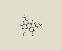 CCSc1cc(=O)c2cc(C(F)(F)F)cc(N(CC)c3ccc(Cl)nc3C(=O)OC(C)(C)C)c2o1